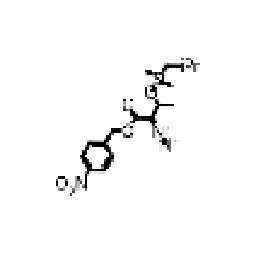 CC(C)C[Si](C)(C)OC(C)C(=[N+]=[N-])C(=O)OCc1ccc([N+](=O)[O-])cc1